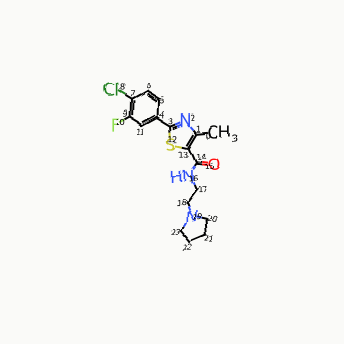 Cc1nc(-c2ccc(Cl)c(F)c2)sc1C(=O)NCCN1CCCC1